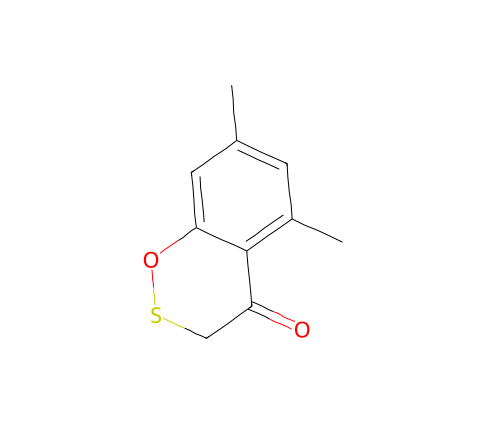 Cc1cc(C)c2c(c1)OSCC2=O